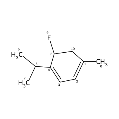 CC1=CC=C(C(C)C)C(F)C1